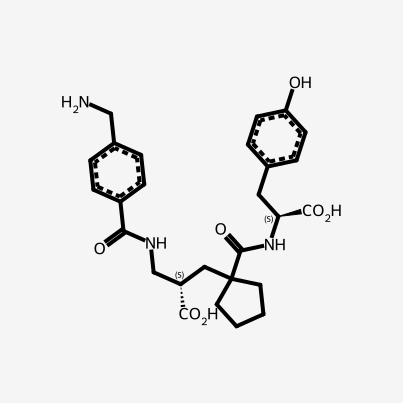 NCc1ccc(C(=O)NC[C@H](CC2(C(=O)N[C@@H](Cc3ccc(O)cc3)C(=O)O)CCCC2)C(=O)O)cc1